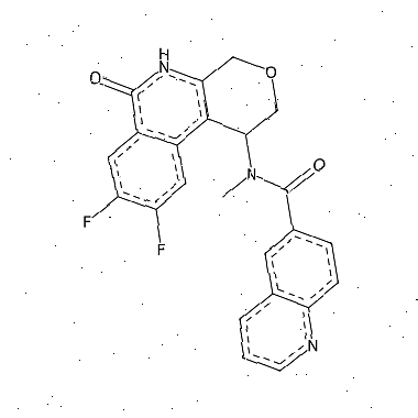 CN(C(=O)c1ccc2ncccc2c1)C1COCc2[nH]c(=O)c3cc(F)c(F)cc3c21